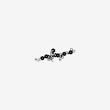 COC(=O)[C@H](Cc1ccc(-c2ccc(C)cc2)cc1)NC(=O)C1Cc2cc3c(cc2CN1Cc1ccccn1)O[C@@H](c1ccc(OCc2ccc(Cl)c(Cl)c2)cc1)C(=O)N3